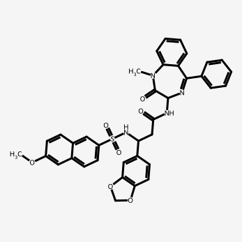 COc1ccc2cc(S(=O)(=O)NC(CC(=O)NC3N=C(c4ccccc4)c4ccccc4N(C)C3=O)c3ccc4c(c3)OCO4)ccc2c1